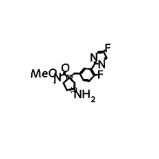 CON(C)C(=O)[C@@]1(Cc2ccc(F)c(-c3ncc(F)cn3)c2)CC[C@H](N)C1